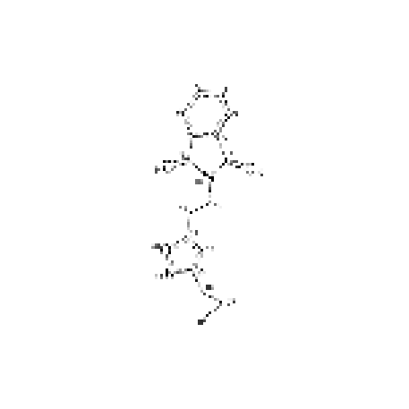 O=C1c2ccccc2C(=O)N1CCc1cc(C2CC2)no1